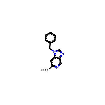 O=C(O)c1cc2c(cn1)ncn2Cc1ccccc1